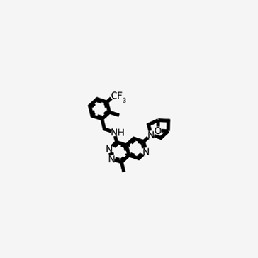 Cc1c(CNc2nnc(C)c3cnc(N4CC5CC(C4)O5)cc23)cccc1C(F)(F)F